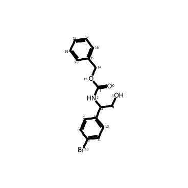 O=C(NC(CO)c1ccc(Br)cc1)OCc1ccccc1